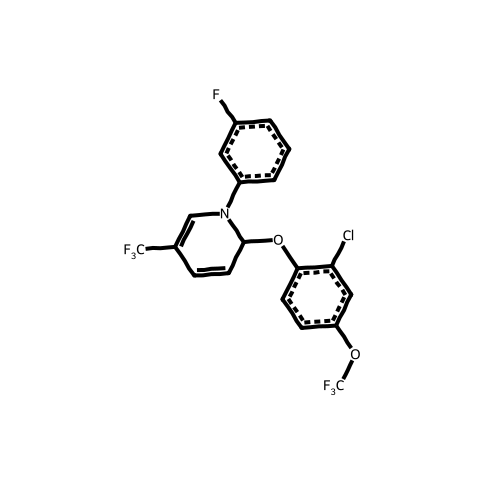 Fc1cccc(N2C=C(C(F)(F)F)C=CC2Oc2ccc(OC(F)(F)F)cc2Cl)c1